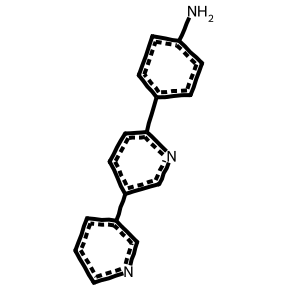 Nc1ccc(-c2ccc(-c3cccnc3)cn2)cc1